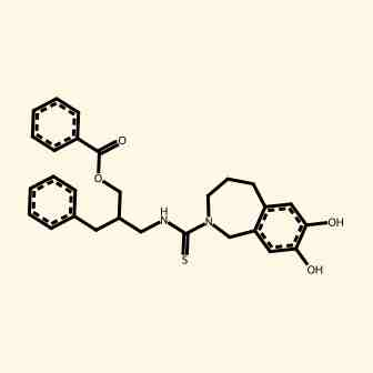 O=C(OCC(CNC(=S)N1CCCc2cc(O)c(O)cc2C1)Cc1ccccc1)c1ccccc1